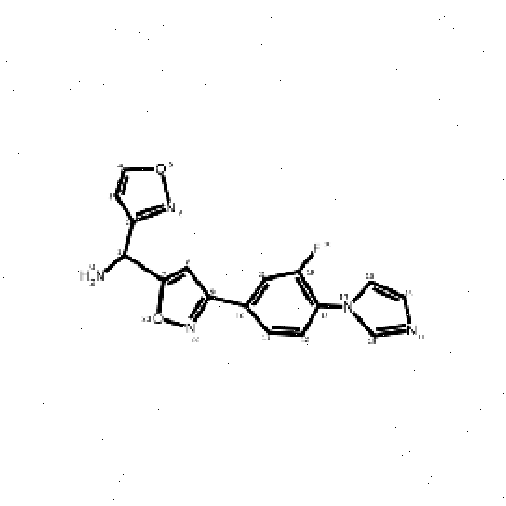 NC(c1ccon1)c1cc(-c2ccc(-n3ccnc3)c(F)c2)no1